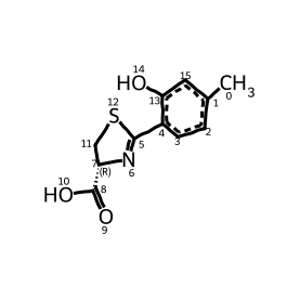 Cc1ccc(C2=N[C@H](C(=O)O)CS2)c(O)c1